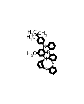 Cc1cc2c3c(c1)N1c4cccc(c4)Sc4ccccc4Sc4cccc(c41)B3c1ccccc1N2c1ccc(C(C)(C)C)cc1